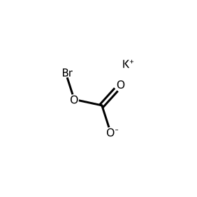 O=C([O-])OBr.[K+]